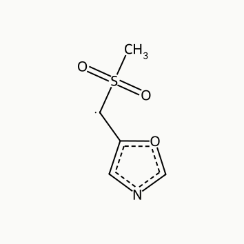 CS(=O)(=O)[CH]c1cnco1